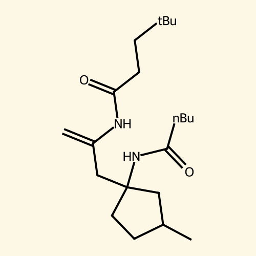 C=C(CC1(NC(=O)CCCC)CCC(C)C1)NC(=O)CCC(C)(C)C